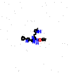 C[C@@H]1CCC(CCc2cc(NCOCC[Si](C)(C)C)n3ncc(-c4ccc(-c5ccccc5)nc4)c3n2)N1